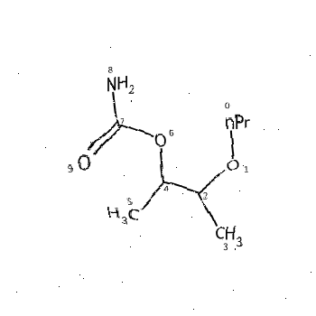 CCCOC(C)C(C)OC(N)=O